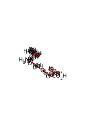 [N-]=[N+]=NCOC1C(n2cc(C#CCNC(=O)NCCCCCOCSSCCNC(=O)c3ccc(C(=O)O)c(C4=c5cc6c7c(c5Oc5c4cc4c8c5CCCN8CCC4)CCC[N+]=7CCC6)c3)c3c(=O)[nH]c(N)nc32)O[C@@H]1COP(=O)(O)OP(=O)(O)OP(=O)(O)O